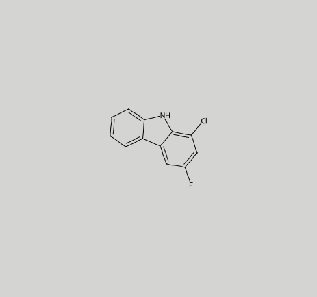 Fc1cc(Cl)c2[nH]c3ccccc3c2c1